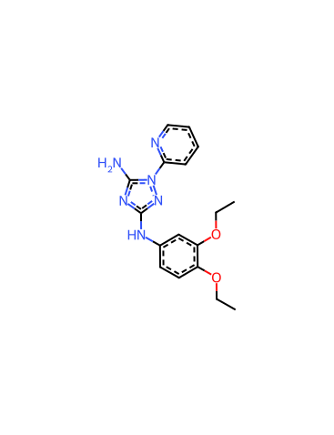 CCOc1ccc(Nc2nc(N)n(-c3ccccn3)n2)cc1OCC